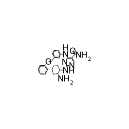 NC(=O)c1cnc(NC2CCCCC2N)nc1Nc1cccc(COc2ccccc2)c1